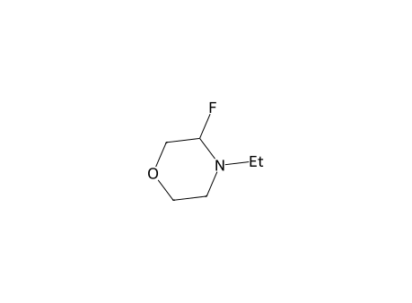 CCN1CCOCC1F